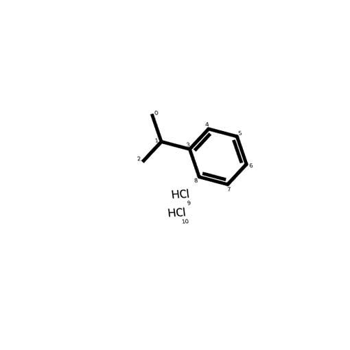 CC(C)c1ccccc1.Cl.Cl